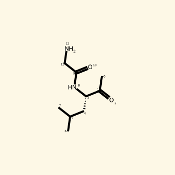 CC(=O)[C@H](CC(C)C)NC(=O)CN